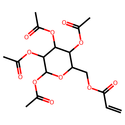 C=CC(=O)OCC1OC(OC(C)=O)C(OC(C)=O)C(OC(C)=O)C1OC(C)=O